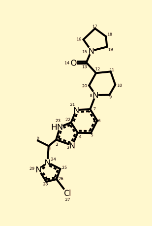 CC(c1nc2ccc(N3CCCC(C(=O)N4CCCC4)C3)nc2[nH]1)n1cc(Cl)cn1